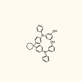 Oc1cccc(N(c2ccccc2)c2ccc(C3(c4ccc(N(c5ccccc5)c5cccc(O)c5)cc4)CCCCC3)cc2)c1